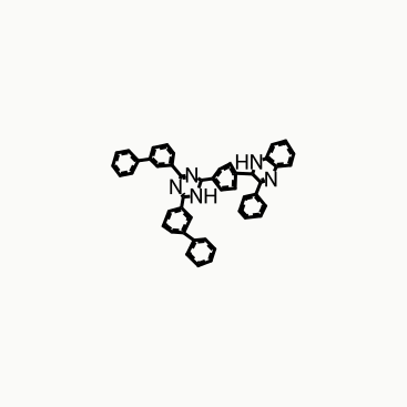 c1ccc(C2=Nc3ccccc3NC2c2ccc(C3N=C(c4cccc(-c5ccccc5)c4)N=C(c4cccc(-c5ccccc5)c4)N3)cc2)cc1